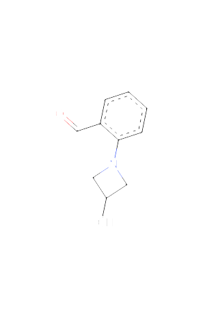 CC1CN(c2ccccc2C=O)C1